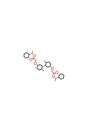 Cc1ccc(OCC(=O)OC(C)c2ccccc2)cc1-c1cc(OCC(=O)OC(C)c2ccccc2)ccc1C